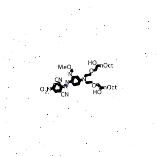 CCCCCCCCC(O)COCCN(CCOCC(O)CCCCCCCC)c1ccc(/N=N/c2c(C#N)cc([N+](=O)[O-])cc2C#N)c(N=COC)c1